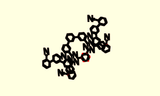 N#Cc1ccccc1-c1ccc2c(c1)c1cc(-c3ccccc3C#N)ccc1n2-c1ccc(-c2cccc(-c3ccc(-n4c5ccc(-c6ccccc6C#N)cc5c5cc(-c6ccccc6C#N)ccc54)c(-c4nc(-c5ccccc5)nc(-c5ccccc5)n4)c3)c2)cc1-c1nc(-c2ccccc2)nc(-c2ccccc2)n1